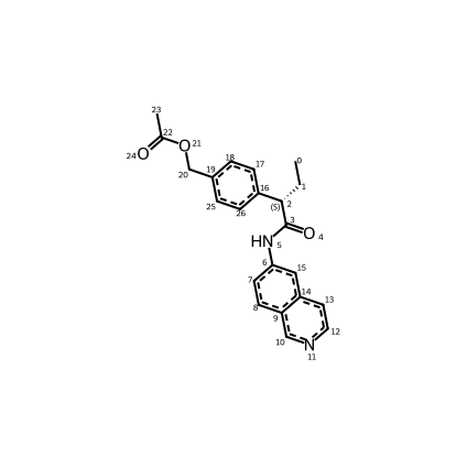 CC[C@H](C(=O)Nc1ccc2cnccc2c1)c1ccc(COC(C)=O)cc1